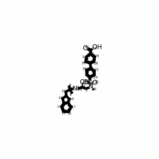 CN(C[C@H](O)CNC(C)(C)CC1Cc2ccccc2C1)S(=O)(=O)c1ccc(-c2ccc(C(=O)O)cc2)cc1